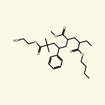 CCCCOC(=O)C(CC)CC(CC(CC(C)(C)C(=O)OCCO)c1ccccc1)C(=O)OC